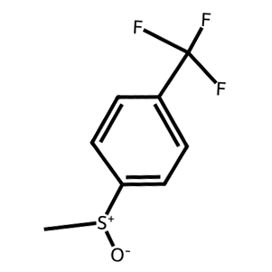 C[S+]([O-])c1ccc(C(F)(F)F)cc1